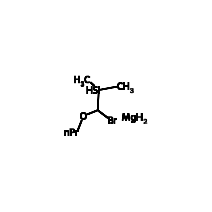 CCCOC(Br)[SiH](C)C.[MgH2]